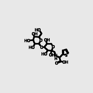 O=C(O)C(NCC1(O)OCC(O)C(OC2OC(CO)C(O)C(O)C2O)C1O)c1cccs1